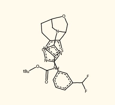 CC(C)(C)OC(=O)Nc1nc2c(s1)C1COC(CC2)CN1c1nc(-c2cccc(C(F)F)c2)no1